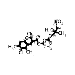 Cc1cc2c(c(C)c1Cl)C=C(C(=O)OC(C)OC(=O)OCC(C)(C)CO[N+](=O)[O-])[C@@H](C(F)(F)F)O2